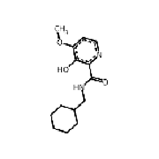 COc1ccnc(C(=O)NCC2CCCCC2)c1O